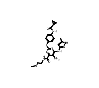 CSCCNC(=O)c1nc(Sc2ccc(NC(=O)C3CC3)cc2)nc(Nc2cc(C)[nH]n2)c1N